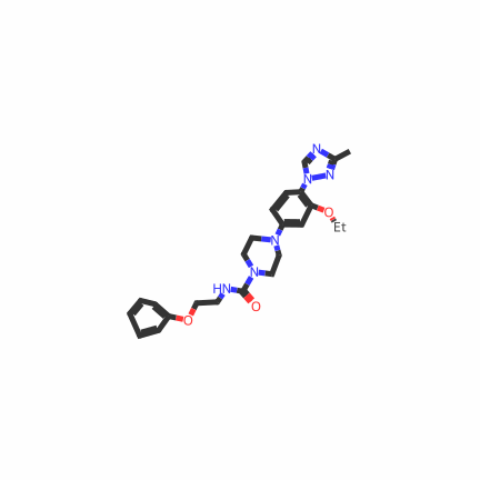 CCOc1cc(N2CCN(C(=O)NCCOc3ccccc3)CC2)ccc1-n1cnc(C)n1